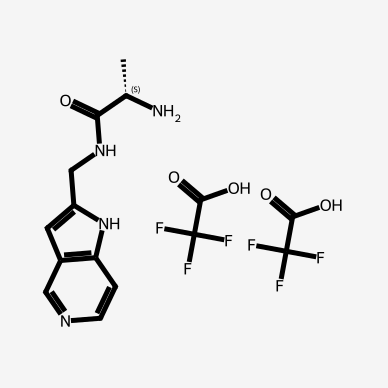 C[C@H](N)C(=O)NCc1cc2cnccc2[nH]1.O=C(O)C(F)(F)F.O=C(O)C(F)(F)F